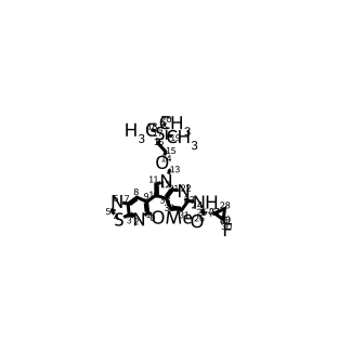 COc1nc2scnc2cc1-c1cn(COCC[Si](C)(C)C)c2nc(NC(=O)[C@@H]3C[C@@H]3F)ccc12